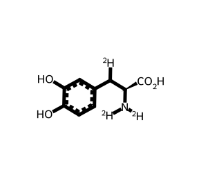 [2H]C(c1ccc(O)c(O)c1)[C@@H](C(=O)O)N([2H])[2H]